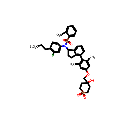 CCOC(=O)CCc1ccc(N(C2CCc3c(-c4c(C)cc(OCC5(O)CCS(=O)(=O)CC5)cc4C)cccc32)S(=O)(=O)c2ccccc2[N+](=O)[O-])cc1F